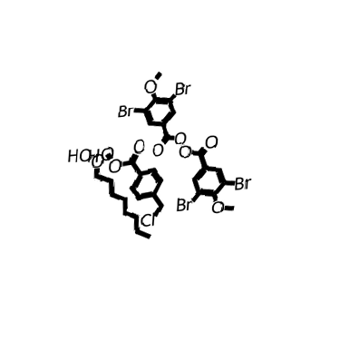 CCCCCCCCOO.COc1c(Br)cc(C(=O)OOC(=O)c2cc(Br)c(OC)c(Br)c2)cc1Br.O=C(OO)c1ccc(CCl)cc1